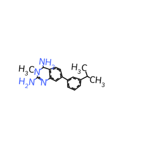 CC(C)c1cccc(-c2ccc3c(c2)N=C(N)N(C)C3N)c1